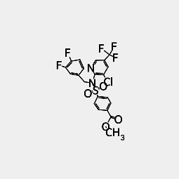 COC(=O)c1ccc(S(=O)(=O)N(Cc2ccc(F)c(F)c2)c2ncc(C(F)(F)F)cc2Cl)cc1